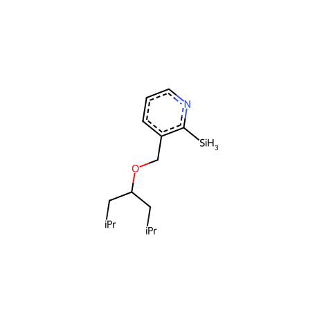 CC(C)CC(CC(C)C)OCc1cccnc1[SiH3]